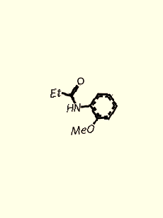 CCC(=O)Nc1c[c]ccc1OC